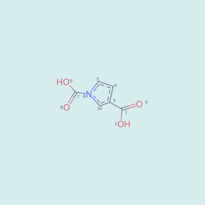 O=C(O)c1ccn(C(=O)O)c1